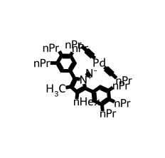 CCCC#[C][Pd][C]#CCCC.CCCCCCC1=C(c2cc(CCC)c(CCC)c(CCC)c2)[N+](=[N-])C(c2cc(CCC)c(CCC)c(CCC)c2)=C1C